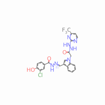 O=C(Cn1cc(/C=N/NC(=O)c2ccc(O)c(Cl)c2)c2ccccc21)NNc1nccc(C(F)(F)F)n1